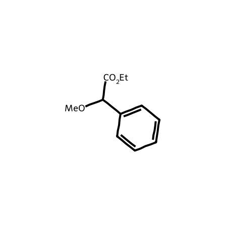 CCOC(=O)C(OC)c1ccccc1